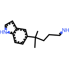 CC(C)(CCC=N)c1ccc2[nH]ccc2c1